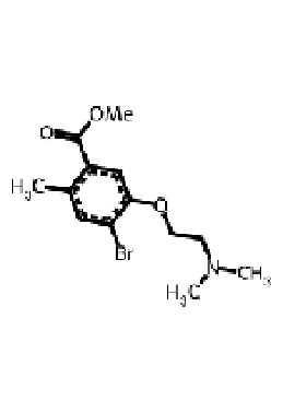 COC(=O)c1cc(OCCN(C)C)c(Br)cc1C